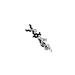 CCCCN(CCCC)C(=O)Cc1cc(C(C)C)c(OCC(O)CN2CCN(C(N)=O)CC2)cc1C